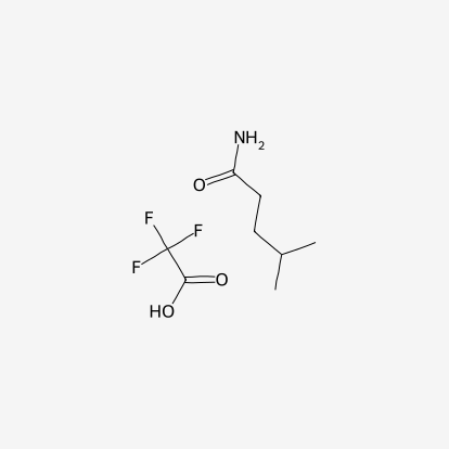 CC(C)CCC(N)=O.O=C(O)C(F)(F)F